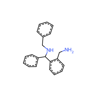 NCc1ccccc1C(NCc1ccccc1)c1ccccc1